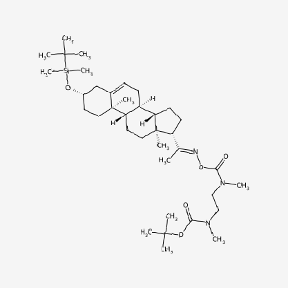 C/C(=N\OC(=O)N(C)CCN(C)C(=O)OC(C)(C)C)[C@H]1CC[C@H]2[C@@H]3CC=C4C[C@@H](O[Si](C)(C)C(C)(C)C)CC[C@]4(C)[C@H]3CC[C@]12C